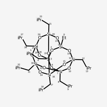 CC[Si]12O[Si]3(CC(C)C)O[Si]4(CC(C)C)O[Si](CC(C)C)(O1)O[Si]1(CC(C)C)O[Si](CC(C)C)(O2)O[Si](CC(C)C)(O3)O[Si](CC(C)C)(O4)O1